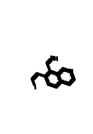 N=Cc1c(/C=C\I)ccc2ccncc12